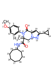 COc1ccc(N2C(=O)c3cc(C4CC4)nn3CC2(C)C(=O)NC2CCCCCCC2)cc1